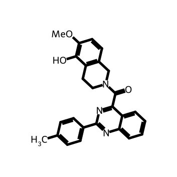 COc1ccc2c(c1O)CCN(C(=O)c1nc(-c3ccc(C)cc3)nc3ccccc13)C2